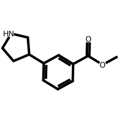 COC(=O)c1cccc(C2CCNC2)c1